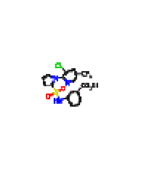 CCOC(=O)c1cccc(NS(=O)(=O)c2cccn2-c2ncc(C(F)(F)F)cc2Cl)c1